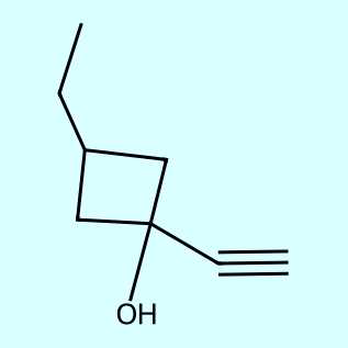 C#CC1(O)CC(CC)C1